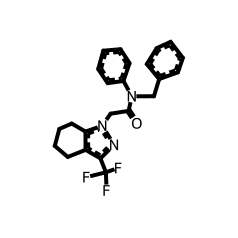 O=C(Cn1nc(C(F)(F)F)c2c1CCCC2)N(Cc1ccccc1)c1ccccc1